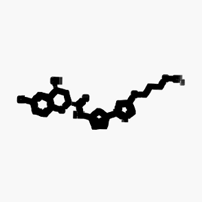 O=C(NC12CCC(n3cc(OCCCOC(F)(F)F)cn3)(C1)C2)[C@H]1C[C@@H](O)c2cc(Cl)ccc2O1